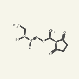 CCN(CC(=O)O)/[N+]([O-])=N/OC(C)N1C(=O)CCC1=O